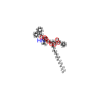 CCCCCCCCCCCCCCCCCC(=O)OC(C=CC(=O)OCc1ccccc1)COC(=O)[C@@H](NC(=O)OCC1c2ccccc2-c2ccccc21)C(C)C